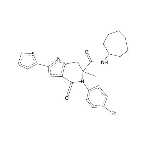 CCc1ccc(N2C(=O)c3cc(-c4cccs4)nn3CC2(C)C(=O)NC2CCCCCC2)cc1